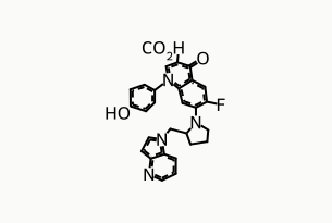 O=C(O)c1cn(-c2ccc(O)cc2)c2cc(N3CCCC3Cn3ccc4ncccc43)c(F)cc2c1=O